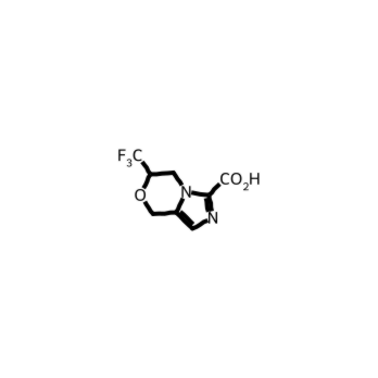 O=C(O)c1ncc2n1CC(C(F)(F)F)OC2